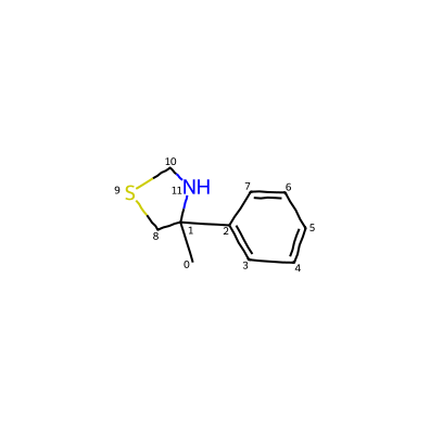 CC1(c2ccccc2)CSCN1